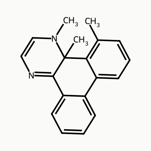 Cc1cccc2c1C1(C)C(=NC=CN1C)c1ccccc1-2